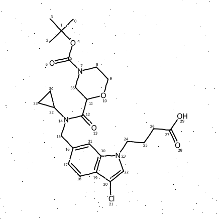 CC(C)(C)OC(=O)N1CCOC(C(=O)N(Cc2ccc3c(Cl)cn(CCCC(=O)O)c3c2)C2CC2)C1